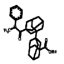 COC(=O)C12CC3CC(C1)CC(C14CC5CC(CC(C(=O)N(C)c6ccccc6)(C5)C1)C4)(C3)C2